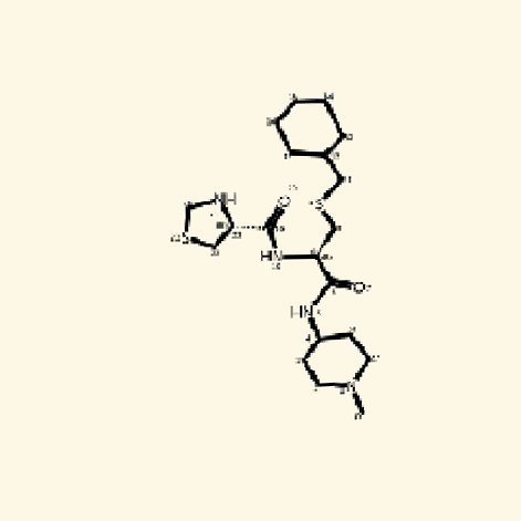 CN1CCC(NC(=O)[C@H](CSCC2CCCCC2)NC(=O)[C@@H]2CSCN2)CC1